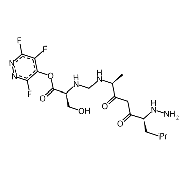 CC(C)C[C@H](NN)C(=O)CC(=O)[C@H](C)NCN[C@@H](CO)C(=O)Oc1c(F)nnc(F)c1F